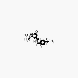 CC(NC(=O)c1cc(=O)[nH]c(N(C)C)n1)c1ccc(C(C)(F)F)cc1